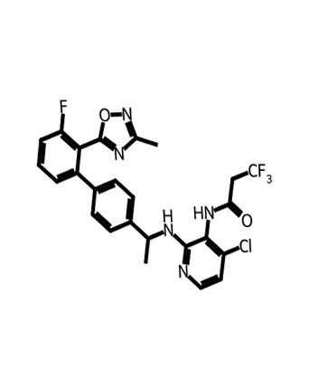 Cc1noc(-c2c(F)cccc2-c2ccc(C(C)Nc3nccc(Cl)c3NC(=O)CC(F)(F)F)cc2)n1